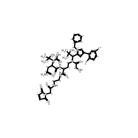 CC(C)(C)C(c1cc(-c2cc(F)ccc2F)cn1Cc1ccccc1)N(CCC(NC(=O)C(CC(N)=O)N(C(=O)O)C(C)(C)C)C(=O)NCCNC(=O)CN1C(=O)C=CC1=O)C(=O)CO